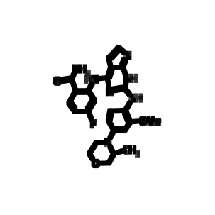 COc1cc(N2CCOC[C@@H]2C)ccc1Nc1nc(Nc2cc(F)ccc2C(N)=O)c2ccnc-2[nH]1